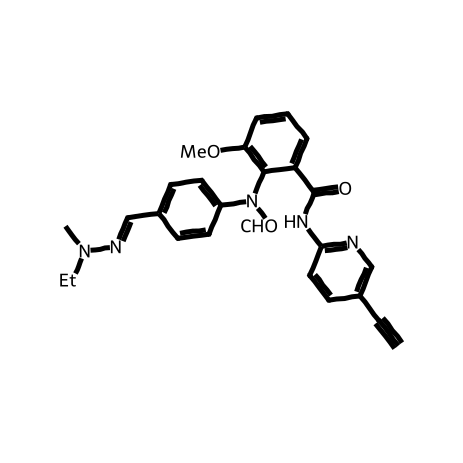 C#Cc1ccc(NC(=O)c2cccc(OC)c2N(C=O)c2ccc(C=NN(C)CC)cc2)nc1